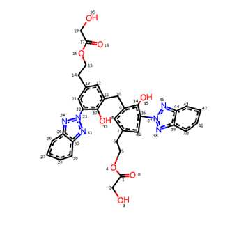 O=C(CO)OCCc1cc(Cc2cc(CCOC(=O)CO)cc(-n3nc4ccccc4n3)c2O)c(O)c(-n2nc3ccccc3n2)c1